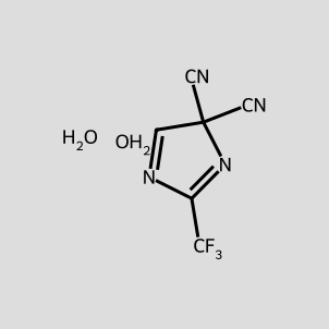 N#CC1(C#N)C=NC(C(F)(F)F)=N1.O.O